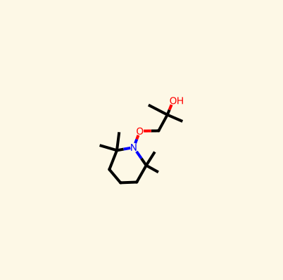 CC(C)(O)CON1C(C)(C)CCCC1(C)C